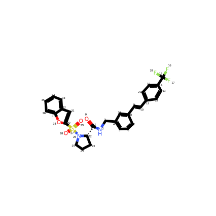 O=C(NCc1cccc(/C=C/c2ccc(C(F)(F)F)cc2)c1)[C@@H]1CCCN1S(=O)(=O)c1cc2ccccc2o1